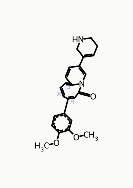 COc1ccc(C2=C\C(=O)N3C=C(C4=CCCNC4)C=C\C3=C/C=C/2)cc1OC